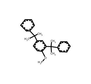 CC(C)(c1ccccc1)c1ccc(OP)c(C(C)(C)c2ccccc2)c1